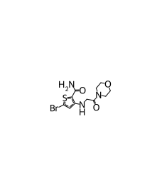 NC(=O)c1sc(Br)cc1NCC(=O)N1CCOCC1